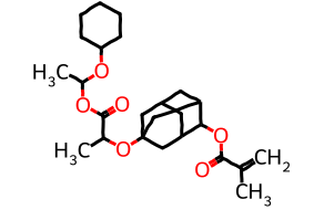 C=C(C)C(=O)OC1C2CC3CC1CC(OC(C)C(=O)OC(C)OC1CCCCC1)(C3)C2